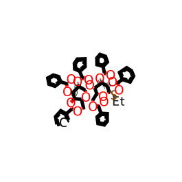 CCSC1OC(COC(=O)c2ccccc2)C(OC2OC3COC(c4ccccc4)OC3[C@H](OC(=O)c3ccccc3)[C@@H]2OC(=O)c2ccccc2)[C@H](OC(=O)c2ccccc2)[C@@H]1OC(=O)c1ccccc1